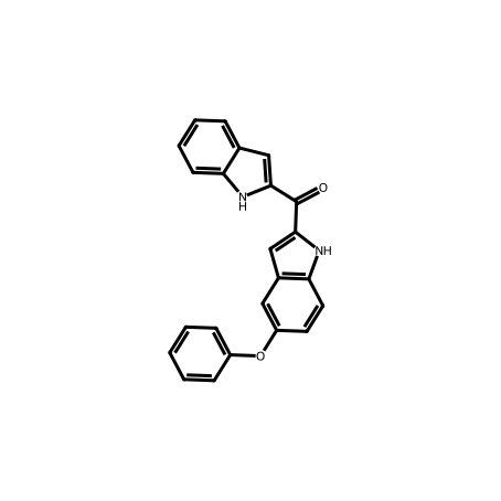 O=C(c1cc2ccccc2[nH]1)c1cc2cc(Oc3ccccc3)ccc2[nH]1